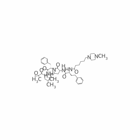 CC(C)CC(NC(=O)[C@H](Cc1ccccc1)N1C(=O)C(NC(=O)[C@H](CCc2ccccc2)NC(=O)CCCCCN2CCN(C)CC2)CC1C)C(=O)C1(C)CO1